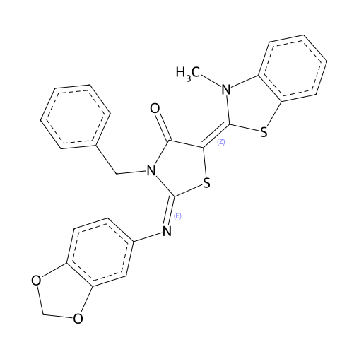 CN1/C(=C2/S/C(=N/c3ccc4c(c3)OCO4)N(Cc3ccccc3)C2=O)Sc2ccccc21